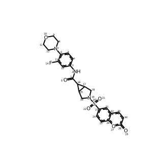 O=C(Nc1ccc(N2CCOCC2)c(F)c1)C1C2CN(S(=O)(=O)c3ccc4oc(=O)ccc4c3)CC21